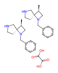 C[C@H]1CN(Cc2ccccc2)[C@]12CCNC2.C[C@H]1CN(Cc2ccccc2)[C@]12CCNC2.O=C(O)C(=O)O